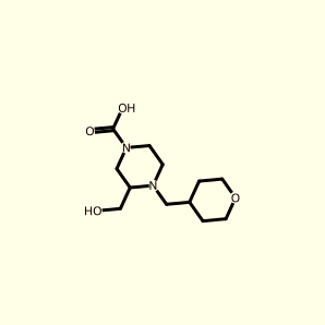 O=C(O)N1CCN(CC2CCOCC2)C(CO)C1